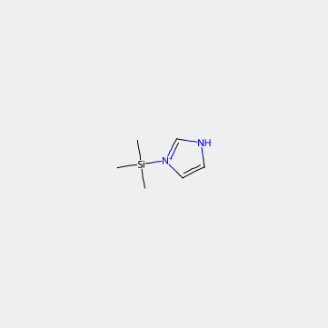 C[Si](C)(C)[n+]1cc[nH]c1